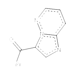 CC(C)C(=O)c1cnc2cccnn12